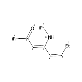 CC/C=C\C(=C\C(=O)C(C)C)NC(C)C